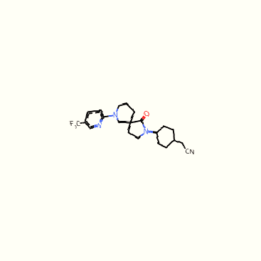 N#CCC1CCC(N2CCC3(CCCN(c4ccc(C(F)(F)F)cn4)C3)C2=O)CC1